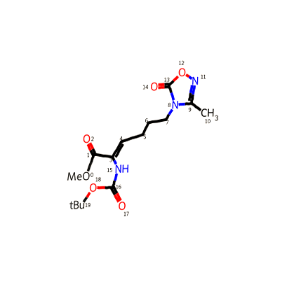 COC(=O)C(=CCCCn1c(C)noc1=O)NC(=O)OC(C)(C)C